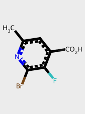 Cc1cc(C(=O)O)c(F)c(Br)n1